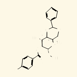 CS[C@@H]1O[C@@H]2COC(c3ccccc3)O[C@@H]2[C@H](O)[C@H]1OC(=O)c1ccc(Cl)cc1